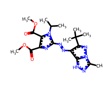 COC(=O)c1nc(N=Nc2c(C(C)(C)C)nn3c(C)n[nH]c23)n(C(C)C)c1C(=O)OC